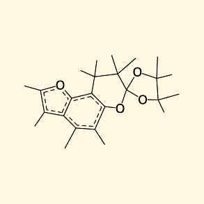 Cc1oc2c3c(c(C)c(C)c2c1C)OC1(OC(C)(C)C(C)(C)O1)C(C)(C)C3(C)C